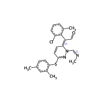 C/N=C\N1N=C(Sc2ccc(C)cc2C)C=C/C1=C(/C=O)c1c(C)cccc1Cl